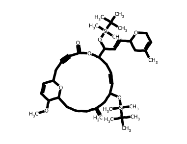 C=C1CCCC2OC(C=CC2OC)CC#CC(=O)OC(C(C=CC2CC(C)=CCO2)O[Si](C)(C)C(C)(C)C)C/C=C\C(O[Si](C)(C)C(C)(C)C)C1